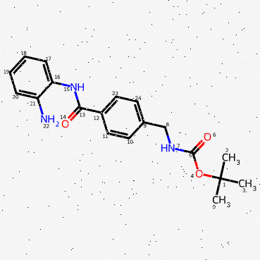 CC(C)(C)OC(=O)NCc1ccc(C(=O)Nc2ccccc2N)cc1